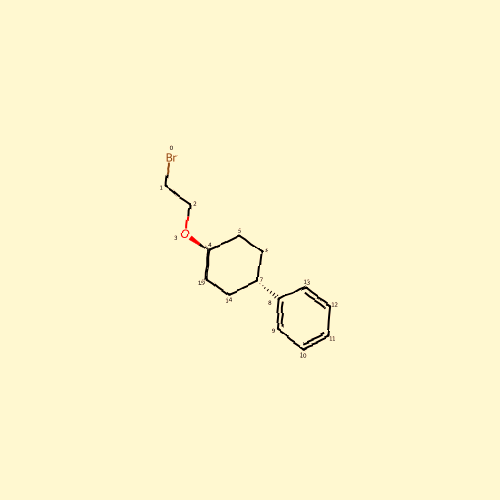 BrCCO[C@H]1CC[C@H](c2ccccc2)CC1